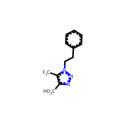 O=C(O)c1nnn(CCc2ccccc2)c1C(F)(F)F